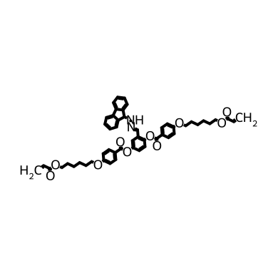 C=CC(=O)OCCCCCCOc1ccc(C(=O)Oc2ccc(OC(=O)c3ccc(OCCCCCCOC(=O)C=C)cc3)c(/C=N/NC3c4ccccc4-c4ccccc43)c2)cc1